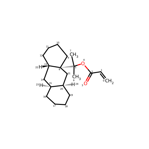 C=CC(=O)OC(C)(C)[C@@]12CCCC[C@H]1C[C@@H]1CCCC[C@@H]1C2